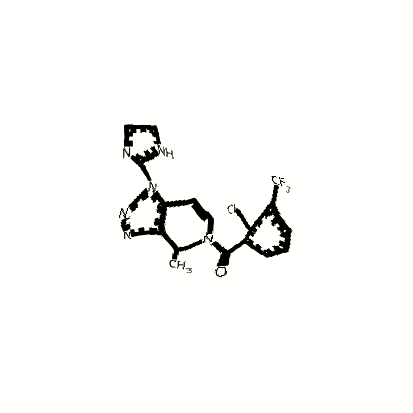 CC1c2nnn(-c3ncc[nH]3)c2C=CN1C(=O)c1cccc(C(F)(F)F)c1Cl